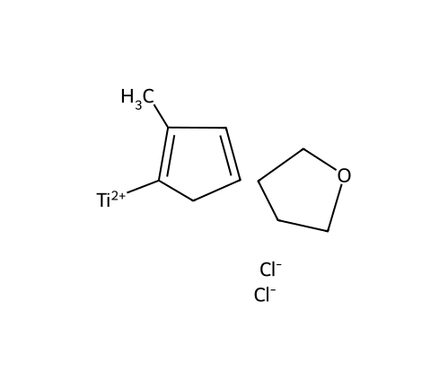 C1CCOC1.CC1=[C]([Ti+2])CC=C1.[Cl-].[Cl-]